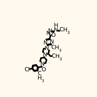 CCNc1nnc(-c2cnc(N3CCN(C4CCN(C(=O)c5ccc(Cl)cc5C)CC4)C(CC)C3)c(C)n2)o1